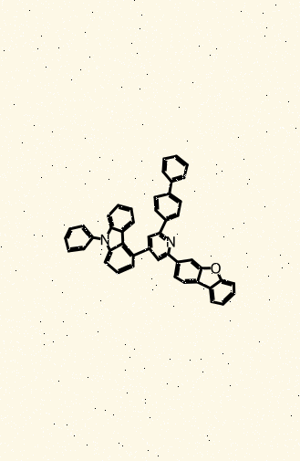 c1ccc(-c2ccc(-c3cc(-c4cccc5c4c4ccccc4n5-c4ccccc4)cc(-c4ccc5c(c4)oc4ccccc45)n3)cc2)cc1